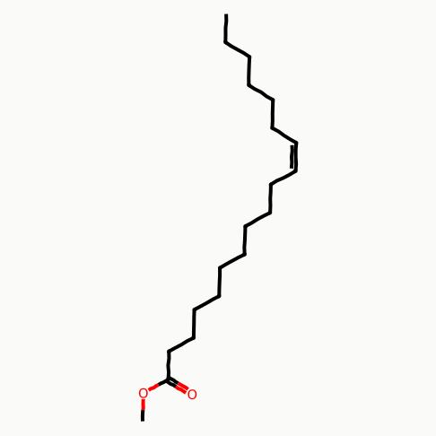 CCCCCC/C=C\CCCCCCCCCC(=O)OC